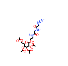 CC(=O)OCC1O[C@@H](OCCNC(=O)CNC(=O)CN=[N+]=[N-])[C@@H](OC(C)=O)C(OC(C)=O)[C@H]1OC(C)=O